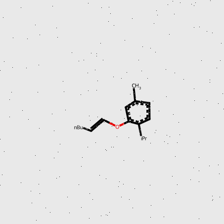 CCCCC=COc1cc(C)ccc1C(C)C